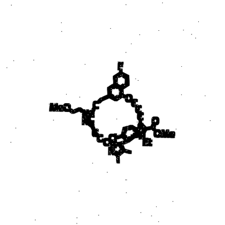 CCn1c(C(=O)OC)c2c3ccc(Cl)c(c31)-c1c(C)c(C)nn1CCCc1cc(n(CCOC)n1)CCc1cc(c3ccc(F)cc3c1)OCCC2